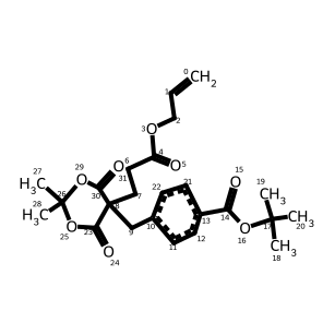 C=CCOC(=O)CCC1(Cc2ccc(C(=O)OC(C)(C)C)cc2)C(=O)OC(C)(C)OC1=O